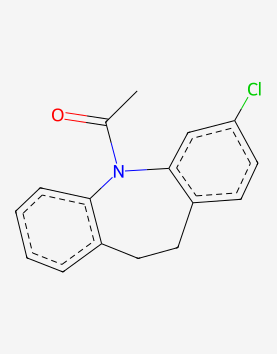 CC(=O)N1c2ccccc2CCc2ccc(Cl)cc21